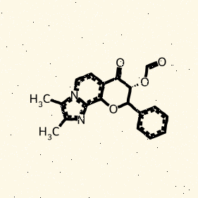 Cc1nc2c3c(ccn2c1C)C(=O)[C@H](OC=O)C(c1ccccc1)O3